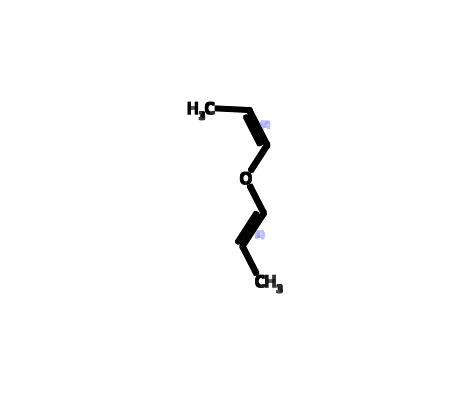 C/C=C\O/C=C/C